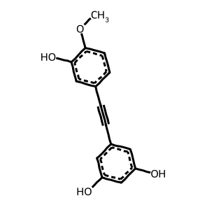 COc1ccc(C#Cc2cc(O)cc(O)c2)cc1O